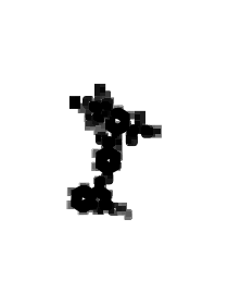 Cc1cc(COc2ccc(C(=O)N[C@@H]3CN(S(=O)(=O)C(C)(C)C)CC[C@@H]3C(=O)NO)cc2)c2ccccc2n1